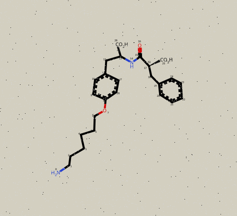 NCCCCCCOc1ccc(CC(NC(=O)[C@H](Cc2ccccc2)C(=O)O)C(=O)O)cc1